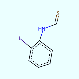 S=CNc1ccccc1I